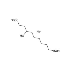 CCCCCCCCCCCCCCC(O)CCC(=O)[O-].[Na+]